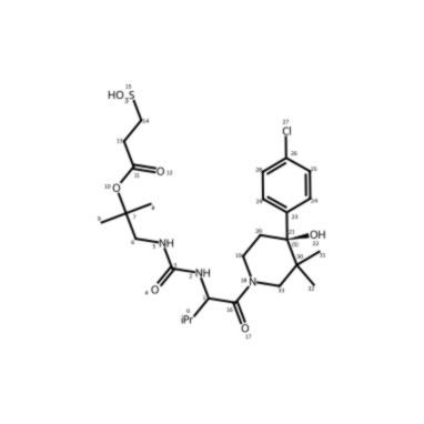 CC(C)C(NC(=O)NCC(C)(C)OC(=O)CCS(=O)(=O)O)C(=O)N1CC[C@](O)(c2ccc(Cl)cc2)C(C)(C)C1